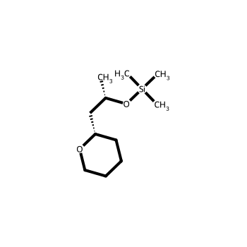 C[C@@H](C[C@@H]1CCCCO1)O[Si](C)(C)C